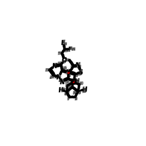 Cc1cc(N2C[C@H]3CC[C@@H](C2)C3Nc2nc3c(OCC(F)F)nccn3n2)sn1